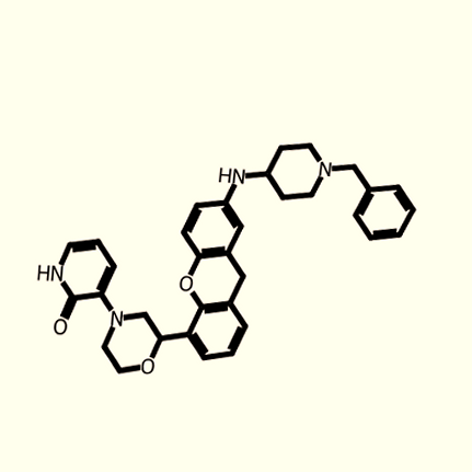 O=c1[nH]cccc1N1CCOC(c2cccc3c2Oc2ccc(NC4CCN(Cc5ccccc5)CC4)cc2C3)C1